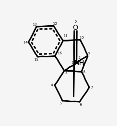 O=C1NC23CCCCC2C1Cc1ccccc13